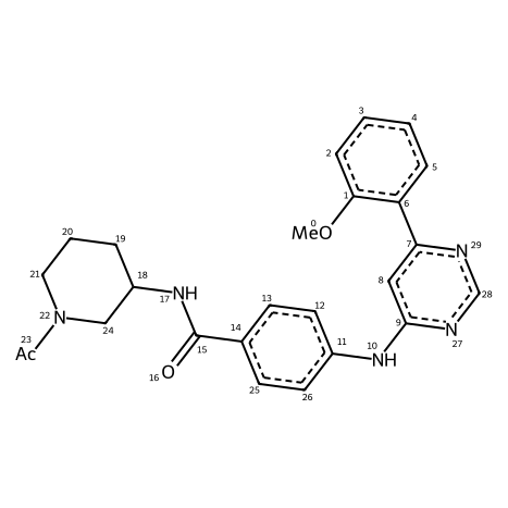 COc1ccccc1-c1cc(Nc2ccc(C(=O)NC3CCCN(C(C)=O)C3)cc2)ncn1